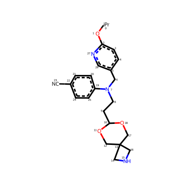 CC(C)Oc1ccc(CN(CCC2OCC3(CNC3)CO2)c2ccc(C#N)cc2)cn1